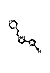 N#Cc1ccc(-c2ccn(CCN3CCOCC3)n2)s1